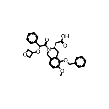 COc1ccc2c(c1OCc1ccccc1)C[C@H](CC(=O)O)N(C(=O)[C@H](OC1COC1)c1ccccc1)C2